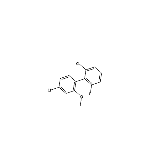 COc1cc(Cl)ccc1-c1c(F)cccc1Cl